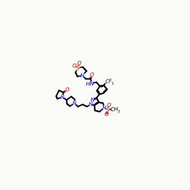 CS(=O)(=O)N1CCc2c(c(-c3ccc(C(F)(F)F)c(CNC(=O)CN4CCS(=O)(=O)CC4)c3)nn2CCCN2CCC(N3CCCC3=O)CC2)C1